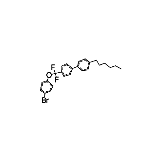 CCCCCCc1ccc(-c2ccc(C(F)(F)Oc3ccc(Br)cc3)cc2)cc1